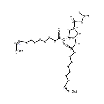 CCCCCCCC/C=C\CCCCCCCC(=O)O[C@@H]1CN(C(=O)CN(C)C)C[C@H]1OC(=O)CCCCCCC/C=C\CCCCCCCC